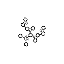 c1ccc(-c2cc(-c3ccccc3)nc(-c3cc(-n4c5ccccc5c5cc(-c6cccc7c6oc6ccccc67)ccc54)cc(-n4c5ccccc5c5cc(-c6cccc7c6oc6ccccc67)ccc54)c3)n2)cc1